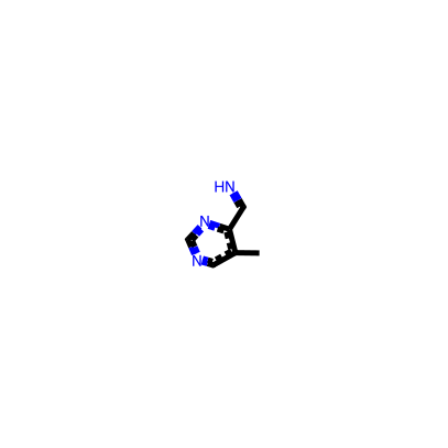 Cc1cncnc1C=N